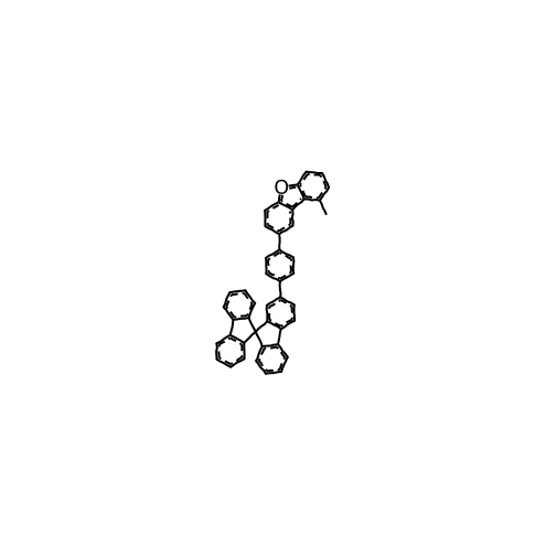 Cc1cccc2oc3ccc(-c4ccc(-c5ccc6c(c5)C5(c7ccccc7-c7ccccc75)c5ccccc5-6)cc4)cc3c12